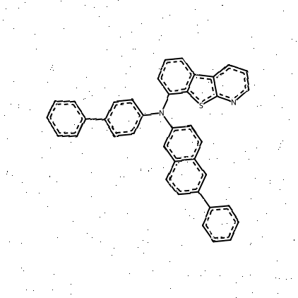 c1ccc(-c2ccc(N(c3ccc4cc(-c5ccccc5)ccc4c3)c3cccc4c3sc3ncccc34)cc2)cc1